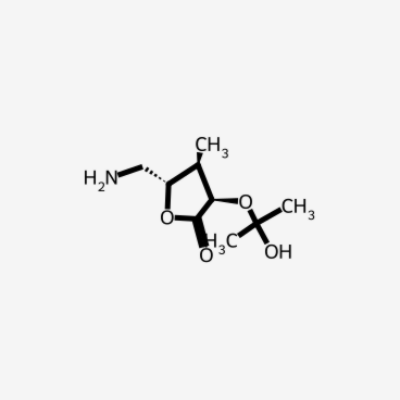 C[C@@H]1[C@@H](CN)OC(=O)[C@@H]1OC(C)(C)O